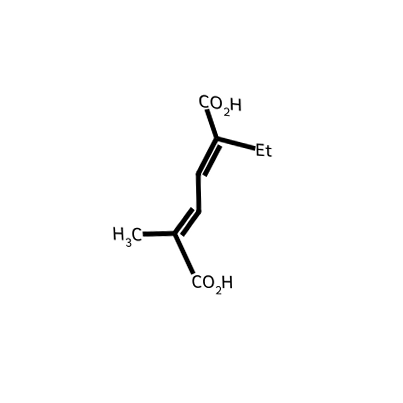 CC/C(=C\C=C(/C)C(=O)O)C(=O)O